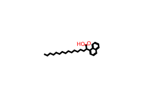 CCCCCCCCCCCCCCC(C(=O)O)c1cccc2ccccc12